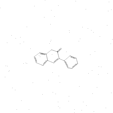 S=C1Cc2ccccc2[C]=C1c1ccccc1